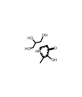 Cc1[nH]ccc(=O)c1O.OCC(O)CO